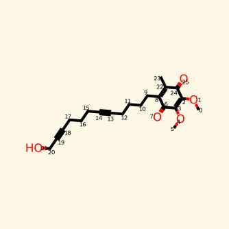 COC1=C(OC)C(=O)C(CCCCC#CCCCC#CCO)=C(C)C1=O